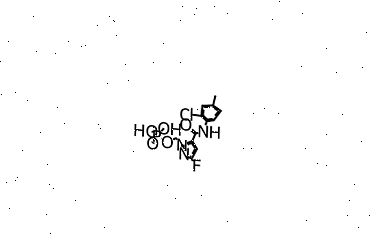 Cc1ccc(NC(=O)c2cc(F)nn2COP(=O)(O)O)c(Cl)c1